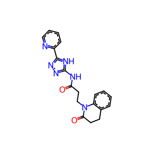 O=C(CCN1C(=O)CCc2ccccc21)Nc1nnc(-c2ccccn2)[nH]1